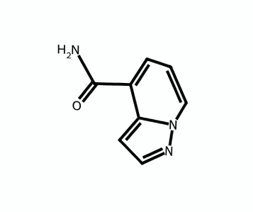 NC(=O)c1cccn2nccc12